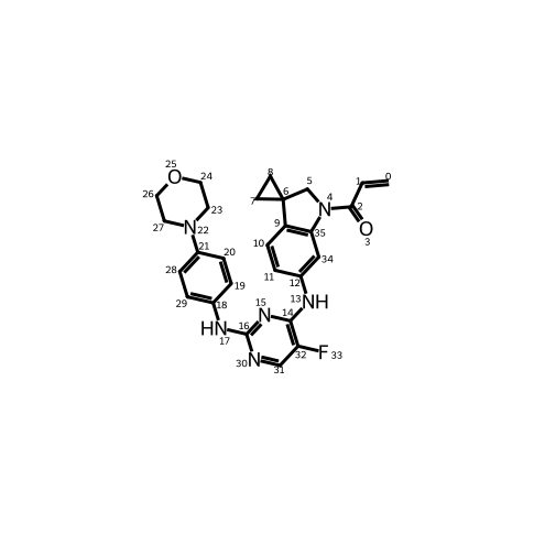 C=CC(=O)N1CC2(CC2)c2ccc(Nc3nc(Nc4ccc(N5CCOCC5)cc4)ncc3F)cc21